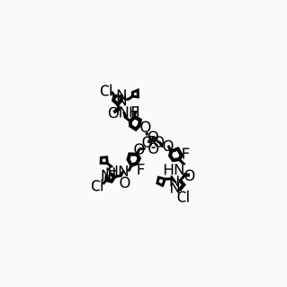 O=C(NCc1ccc(OCOP(=O)(OCOc2ccc(CNC(=O)c3cc(Cl)nn3CC3CCC3)c(F)c2)OCOc2ccc(CNC(=O)c3cc(Cl)nn3CC3CCC3)c(F)c2)cc1F)c1cc(Cl)nn1CC1CCC1